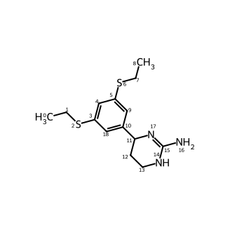 CCSc1cc(SCC)cc(C2CCNC(N)=N2)c1